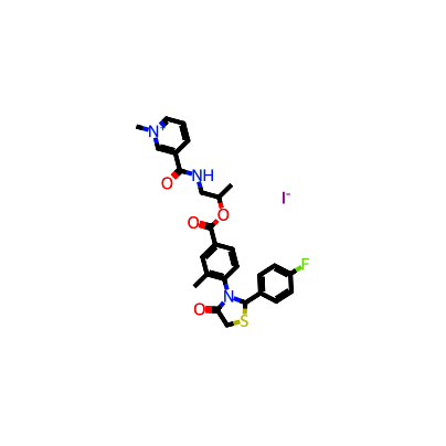 Cc1cc(C(=O)OC(C)CNC(=O)c2ccc[n+](C)c2)ccc1N1C(=O)CSC1c1ccc(F)cc1.[I-]